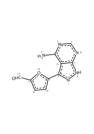 Nc1ncnc2[nH]nc(-c3ccc(C=O)o3)c12